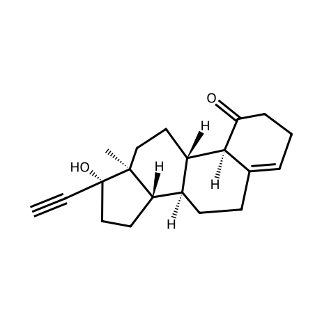 C#C[C@]1(O)CC[C@H]2[C@@H]3CCC4=CCCC(=O)[C@@H]4[C@H]3CC[C@@]21C